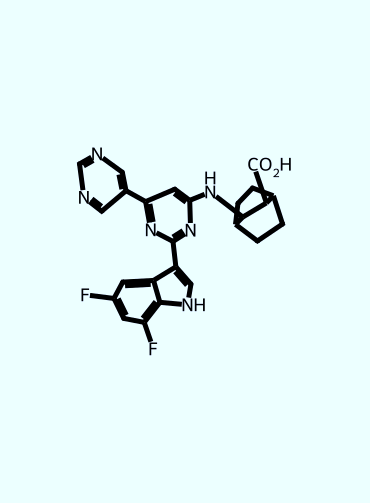 O=C(O)C1C2CCC(CC2)C1Nc1cc(-c2cncnc2)nc(-c2c[nH]c3c(F)cc(F)cc23)n1